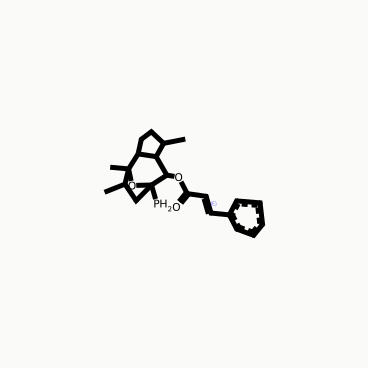 CC1CCC2C1C(OC(=O)/C=C/c1ccccc1)C1(P)CC(C)C2(C)O1